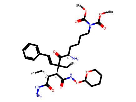 CC(C)C[C@@H](C(=O)NN)[C@H](C(=O)NOC1CCCCO1)C(C=Cc1ccccc1)(CC(C)C)C(=O)[C@@H](N)CCCCN(C(=O)OC(C)(C)C)C(=O)OC(C)(C)C